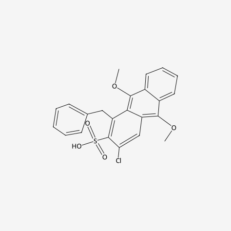 COc1c2ccccc2c(OC)c2c(Cc3ccccc3)c(S(=O)(=O)O)c(Cl)cc12